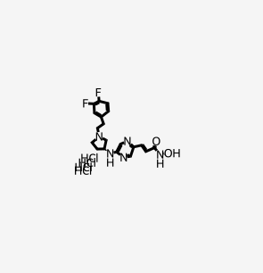 Cl.Cl.Cl.Cl.O=C(C=Cc1cnc(N[C@@H]2CCN(CCc3ccc(F)c(F)c3)C2)cn1)NO